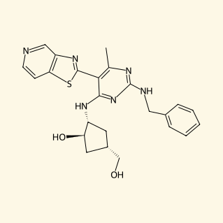 Cc1nc(NCc2ccccc2)nc(N[C@@H]2C[C@H](CO)C[C@H]2O)c1-c1nc2cnccc2s1